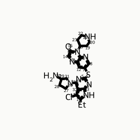 CCc1[nH]c2nc(Sc3cnc4c(c3)ncc(=O)n4C3CCNCC3)nc(N3CCC(N)C3)c2c1Cl